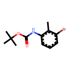 Cc1c(Br)cccc1NC(=O)OC(C)(C)C